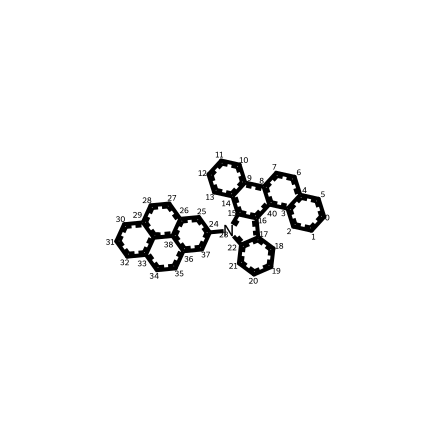 c1ccc2c(c1)ccc1c3ccccc3c3c(c4ccccc4n3-c3cc4ccc5cccc6ccc(c3)c4c56)c21